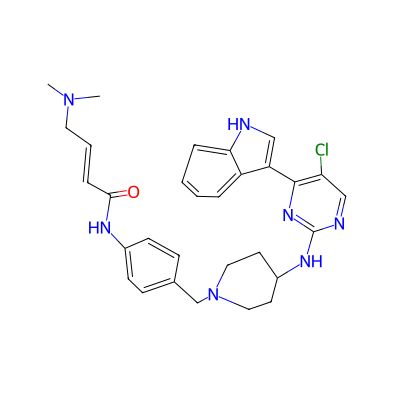 CN(C)CC=CC(=O)Nc1ccc(CN2CCC(Nc3ncc(Cl)c(-c4c[nH]c5ccccc45)n3)CC2)cc1